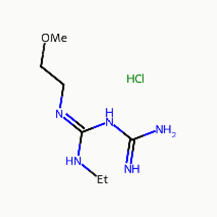 CCN/C(=N/CCOC)NC(=N)N.Cl